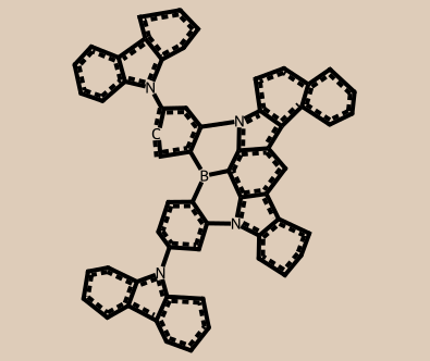 c1ccc2c(c1)ccc1c2c2cc3c4ccccc4n4c3c3c2n1-c1cc(-n2c5ccccc5c5ccccc52)ccc1B3c1ccc(-n2c3ccccc3c3ccccc32)cc1-4